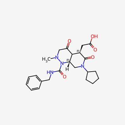 CN1CC(=O)C2[C@@H](CC(=O)O)C(=O)N(C3CCCC3)C[C@@H]2N1C(=O)NCc1ccccc1